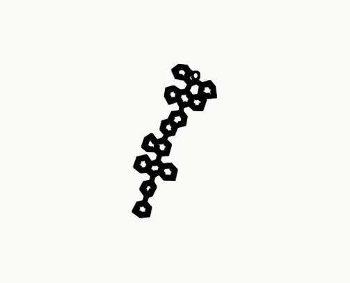 c1ccc(-c2ccc(-c3c4ccccc4c(-c4ccc(-c5ccc6cc(-c7c8ccccc8c(-c8c(-c9ccccc9)oc9ccccc89)c8ccccc78)ccc6c5)c5ccccc45)c4ccccc34)cc2)cc1